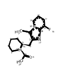 Cc1c(C[C@@H]2CCCCN2C(=O)O)nc2c(F)cccn12